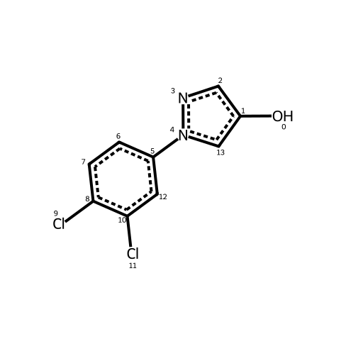 Oc1cnn(-c2ccc(Cl)c(Cl)c2)c1